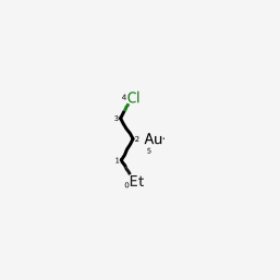 CCCCCCl.[Au]